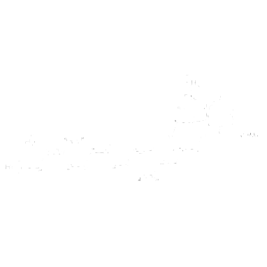 COc1ccc2c(c1)C1(CCN(Cc3ccc(COc4ccc(C(C)CC(=O)O)cc4)cc3)CC1)CN2C